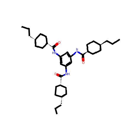 CCC[C@H]1CC[C@@H](C(=O)Nc2cc(NC(=O)[C@H]3CC[C@@H](CCC)CC3)cc(NC(=O)[C@H]3CC[C@@H](CCC)CC3)c2)CC1